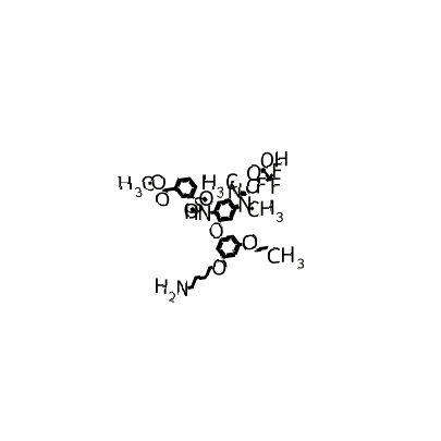 CCCOc1cc(OCCCCN)cc(Oc2cc3c(cc2NS(=O)(=O)c2cccc(C(=O)OC)c2)n(C)c(=O)n3C)c1.O=C(O)C(F)(F)F